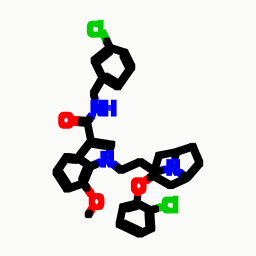 COc1cccc2c(C(=O)NCc3cccc(Cl)c3)cn(CCCN3C4CCC3CC(Oc3ccccc3Cl)C4)c12